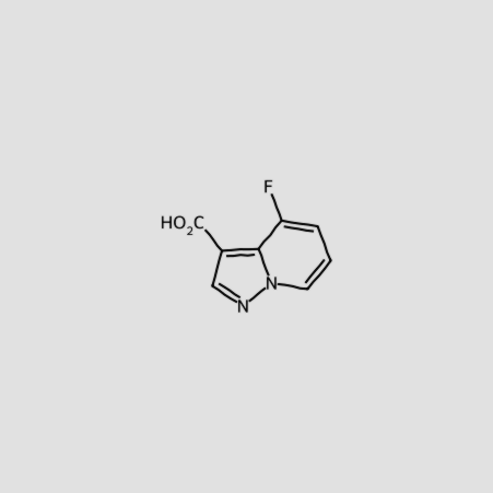 O=C(O)c1cnn2cccc(F)c12